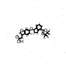 CC1(C)OB(c2cccc3c2CC[C@H]3Oc2ccc3c(c2)OCC3CC(=O)O)OC1(C)C